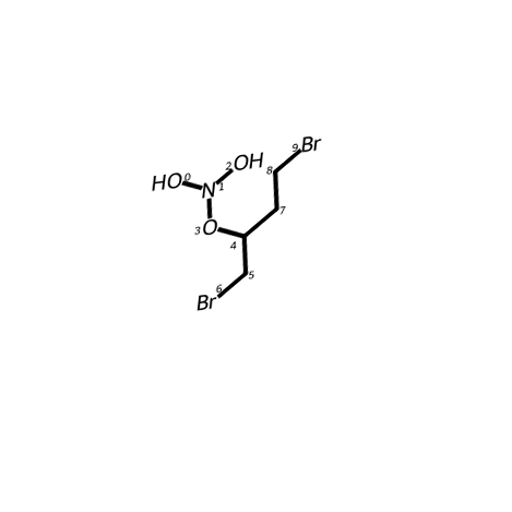 ON(O)OC(CBr)CCBr